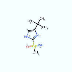 CC(C)(C)c1c[nH]c(S(C)(=N)=O)n1